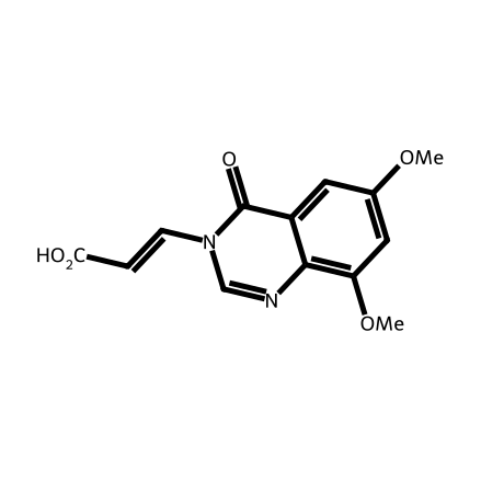 COc1cc(OC)c2ncn(C=CC(=O)O)c(=O)c2c1